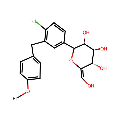 CCOc1ccc(Cc2cc(C3O/C(=C/O)[C@@H](O)[C@H](O)[C@H]3O)ccc2Cl)cc1